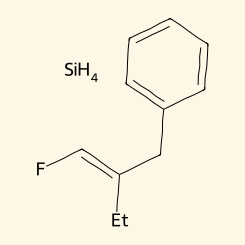 CCC(=CF)Cc1ccccc1.[SiH4]